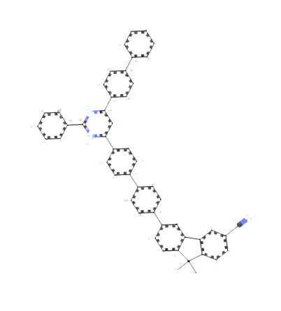 CC1(C)c2ccc(C#N)cc2-c2cc(-c3ccc(-c4ccc(-c5cc(-c6ccc(-c7ccccc7)cc6)nc(-c6ccccc6)n5)cc4)cc3)ccc21